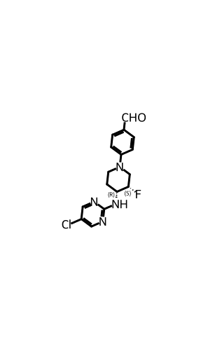 O=Cc1ccc(N2CC[C@@H](Nc3ncc(Cl)cn3)[C@@H](F)C2)cc1